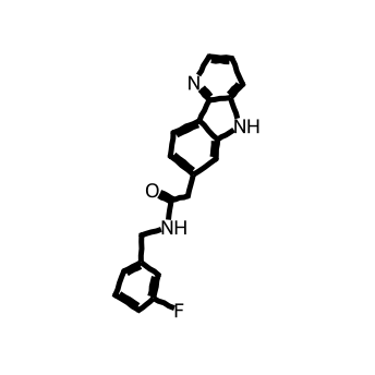 O=C(Cc1ccc2c(c1)[nH]c1cccnc12)NCc1cccc(F)c1